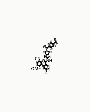 COc1ccc(C#N)cc1-c1cc(C)ncc1C(=O)Nc1nc2c(s1)CN(C(=O)c1ccc(C(F)F)cn1)C2